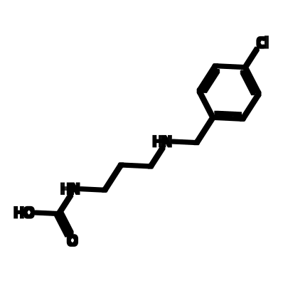 O=C(O)NCCCNCc1ccc(Cl)cc1